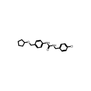 O=C(NCc1ccc(Cl)cc1)Nc1ccc(COC2CCCC2)cc1